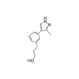 Cc1n[nH]cc1-c1c[c]cc(CCCO)c1